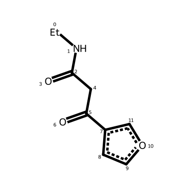 CCNC(=O)CC(=O)c1ccoc1